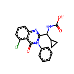 O=C(O)NC(c1nc2cccc(Cl)c2c(=O)n1-c1ccccc1)C1CC1